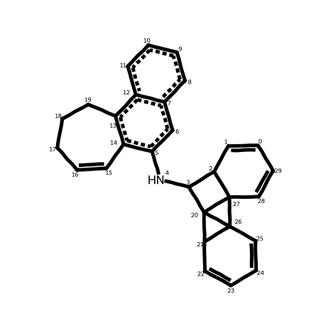 C1=CC2C(Nc3cc4ccccc4c4c3C=CCCC4)C34C5C=CC=CC53C24C=C1